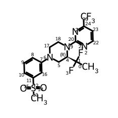 CC(F)(F)[C@H]1CN(c2cccc(S(C)(=O)=O)c2)CCN1c1nccc(C(F)(F)F)n1